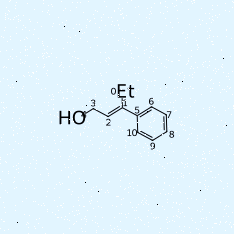 CCC(=CCO)c1ccccc1